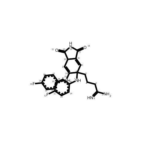 N=C(N)CCCC1(Nc2ccc(F)cc2)C=C2C(=O)NC(=O)C2C=C1Nc1ccc(F)cc1